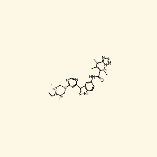 CCN1[C@H](C)CN(c2cc(-c3n[nH]c4ccc(NC(=O)C5=C(C)N(C)c6nnnn6[C@H]5C)cc34)ncn2)C[C@@H]1C